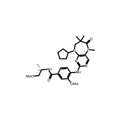 COC[C@H](C)NC(=O)c1ccc(Nc2ncc3c(n2)N(C2CCCC2)CC(C)(C)C(=O)N3C)c(OC)c1